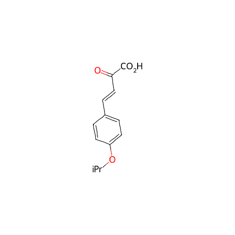 CC(C)Oc1ccc(C=CC(=O)C(=O)O)cc1